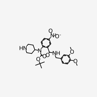 COc1ccc(CNC(=O)c2cc([N+](=O)[O-])ccc2N(C(=O)OC(C)(C)C)C2CCNCC2)cc1OC